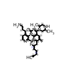 C#C/C=C\C=C(\F)Cc1nc2c(cc1F)c(N1C[C@@H](C)NC[C@@H]1C)nc(=O)n2-c1c(CCCN)ccnc1C(C)C